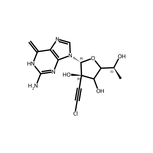 C=C1NC(N)=Nc2c1ncn2[C@@H]1OC([C@H](C)O)C(O)[C@]1(O)C#CCl